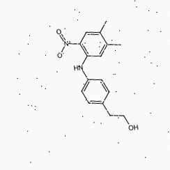 Cc1cc(Nc2ccc(CCO)cc2)c([N+](=O)[O-])cc1C